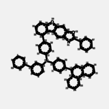 c1ccc(-c2cccc(N(c3ccc(-c4cc5ccccc5c5ccccc45)cc3)c3ccc(-c4cccc5oc6cc7oc(-c8ccccc8)nc7cc6c45)cc3)c2)cc1